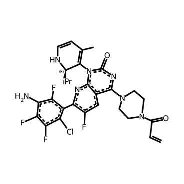 C=CC(=O)N1CCN(c2nc(=O)n(C3=C(C)C=CN[C@@H]3C(C)C)c3nc(-c4c(F)c(N)c(F)c(F)c4Cl)c(F)cc23)CC1